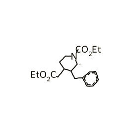 CCOC(=O)CC1CCN(C(=O)OCC)[CH]C1Cc1ccccc1